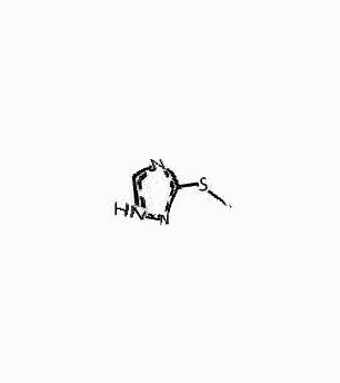 [CH2]Sc1nc[nH]n1